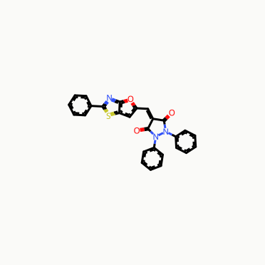 O=C1C(=Cc2cc3sc(-c4ccccc4)nc3o2)C(=O)N(c2ccccc2)N1c1ccccc1